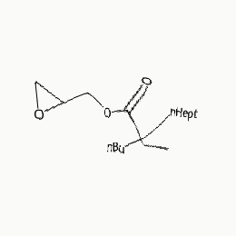 CCCCCCCC(C)(CCCC)C(=O)OCC1CO1